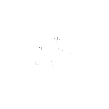 N#CC1CCCCC1(C#N)C#N